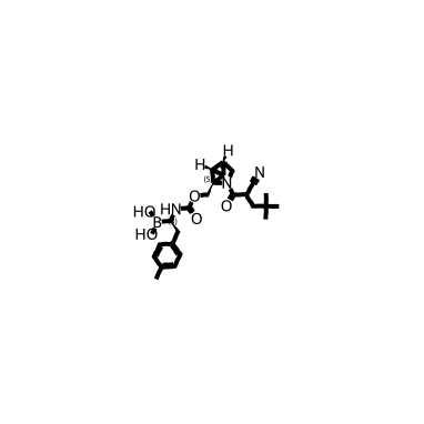 Cc1ccc(C[C@H](NC(=O)OC[C@@]23C4[C@@H](CN2C(=O)C(C#N)CC(C)(C)C)[C@H]43)B(O)O)cc1